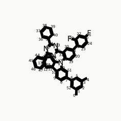 Cc1cc(C)cc(-c2ccc3c4ccccc4n(-c4ccc(-c5ccc(F)cc5F)cc4-c4nc(-c5ccccc5)nc(-c5ccccc5)n4)c3c2)c1